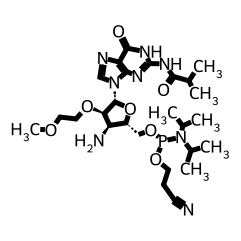 COCCO[C@@H]1[C@H](N)[C@@H](COP(OCCC#N)N(C(C)C)C(C)C)O[C@H]1n1cnc2c(=O)[nH]c(NC(=O)C(C)C)nc21